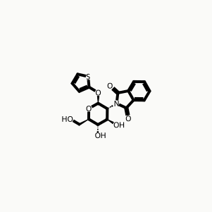 O=C1c2ccccc2C(=O)N1[C@H]1[C@H](Oc2cccs2)O[C@H](CO)[C@@H](O)[C@@H]1O